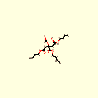 CCCCOC(=O)CC(CC(=O)OCCCC)(OC=O)C(=O)OCCCC